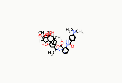 CO[C@H]1C[C@]2(O)C3CC4C5(C6C[C@H]1[C@H](OC)[C@@]62O)[C@@H](O)CC([C@@H](C)N)[C@@]4(OC(=O)c1ccccc1NC(=O)c1ccc(N(C)C)cc1)C[C@]35C